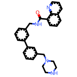 O=C(NCc1cccc(-c2cccc(CN3CCNCC3)c2)c1)c1cccc2cccnc12